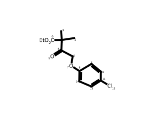 CCOC(=O)C(C)(C)C(=O)COc1ccc(Cl)cc1